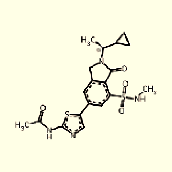 CNS(=O)(=O)c1cc(-c2cnc(NC(C)=O)s2)cc2c1C(=O)N([C@@H](C)C1CC1)C2